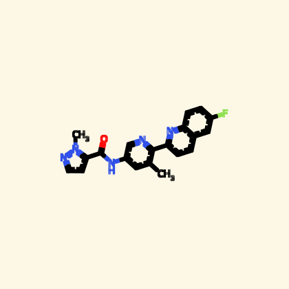 Cc1cc(NC(=O)c2ccnn2C)cnc1-c1ccc2cc(F)ccc2n1